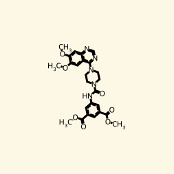 COC(=O)c1cc(NC(=O)N2CCN(c3ncnc4cc(OC)c(OC)cc34)CC2)cc(C(=O)OC)c1